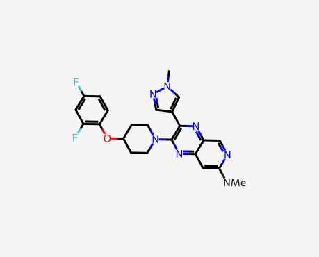 CNc1cc2nc(N3CCC(Oc4ccc(F)cc4F)CC3)c(-c3cnn(C)c3)nc2cn1